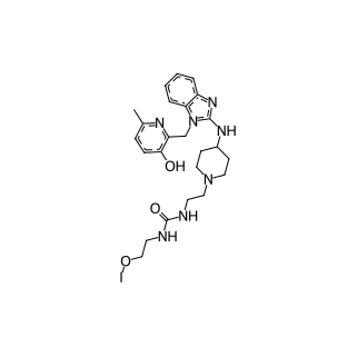 Cc1ccc(O)c(Cn2c(NC3CCN(CCNC(=O)NCCOI)CC3)nc3ccccc32)n1